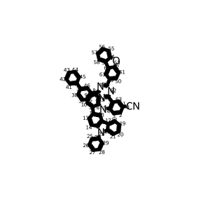 N#Cc1ccc(-n2c3ccccc3c3ccc4c(c5ccccc5n4-c4ccccc4)c32)c(-c2nc(-c3cccc(-c4ccccc4)c3)nc(-c3ccc4oc5ccccc5c4c3)n2)c1